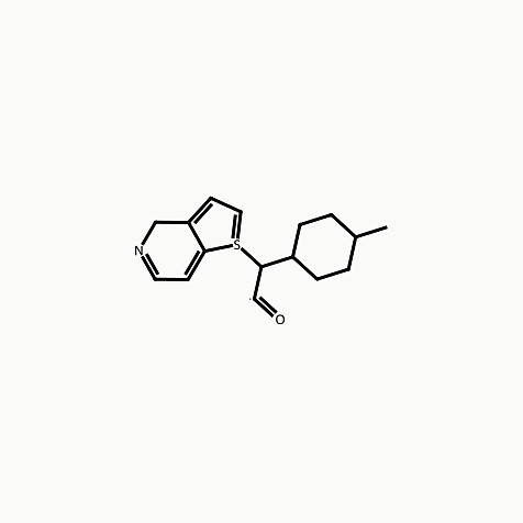 CC1CCC(C([C]=O)S2=CC=C3CN=CC=C32)CC1